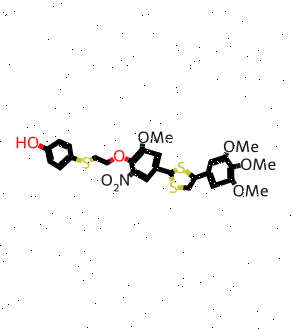 COc1cc(C2CSC(c3cc(OC)c(OCCSc4ccc(O)cc4)c([N+](=O)[O-])c3)S2)cc(OC)c1OC